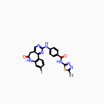 CCc1nnc(NC(=O)c2ccc(Nc3ncc4c(n3)-c3ccc(I)cc3NC(=O)C4)cc2)s1